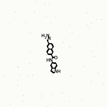 NN=Cc1ccc2cc(C(=O)Nc3ccc4[nH]ccc4c3)ccc2c1